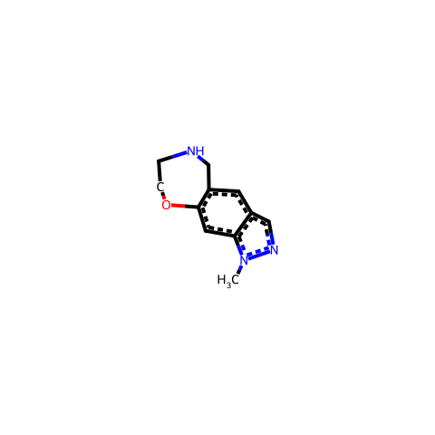 Cn1ncc2cc3c(cc21)OCCNC3